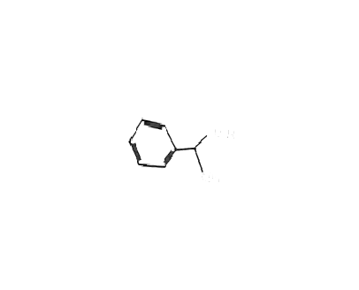 CCCCC(c1ccccc1)S(=O)(=O)O